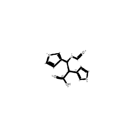 O=COC(c1ccsc1)C(C(=O)O)c1ccsc1